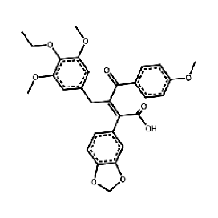 CCOc1c(OC)cc(CC(C(=O)c2ccc(OC)cc2)=C(C(=O)O)c2ccc3c(c2)OCO3)cc1OC